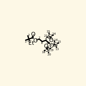 CCC(C)(C)C(=O)OCCCC(O[Si](C)(C)C)(O[Si](C)(C)C)O[Si](C)(C)C